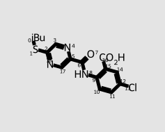 CCC(C)Sc1cnc(C(=O)Nc2ccc(Cl)cc2C(=O)O)cn1